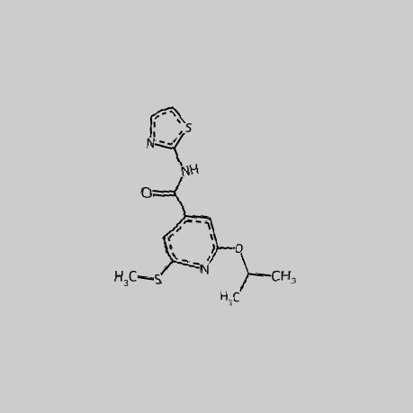 CSc1cc(C(=O)Nc2nccs2)cc(OC(C)C)n1